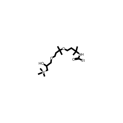 CCC(=O)NC(C)(C)CCOC(C)(C)CCOCC(O)C[N+](C)(C)C